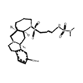 COc1ccc2c(c1)[C@@H]1C[C@H]3[C@H](CCCN3S(=O)(=O)CCCNS(=O)(=O)N(C)C)CN1CC2